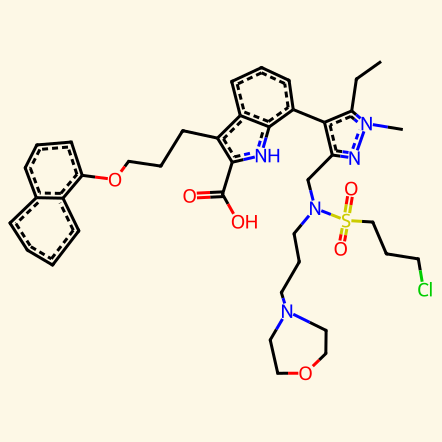 CCc1c(-c2cccc3c(CCCOc4cccc5ccccc45)c(C(=O)O)[nH]c23)c(CN(CCCN2CCOCC2)S(=O)(=O)CCCCl)nn1C